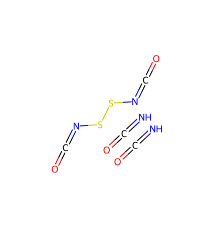 N=C=O.N=C=O.O=C=NSSN=C=O